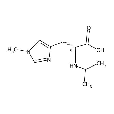 CC(C)N[C@H](Cc1cn(C)cn1)C(=O)O